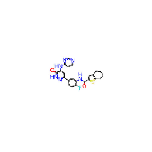 O=C(Nc1cc(-c2cc(Nc3ccncn3)c(=O)[nH]n2)ccc1F)c1cc2c(s1)CCCC2